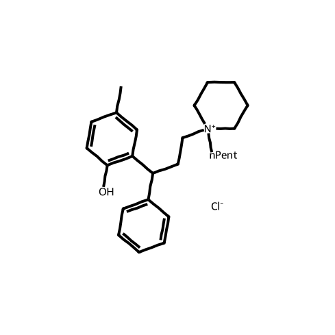 CCCCC[N+]1(CCC(c2ccccc2)c2cc(C)ccc2O)CCCCC1.[Cl-]